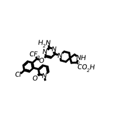 Cn1cccc(-c2cc(Cl)ccc2C(Oc2cc(N3CCC4(CC3)CN[C@H](C(=O)O)C4)nc(N)n2)C(F)(F)F)c1=O